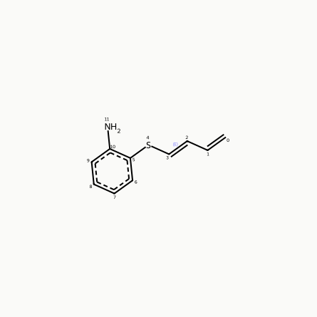 C=C/C=C/Sc1ccccc1N